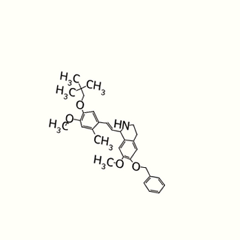 COc1cc2c(cc1OCc1ccccc1)CCNC2/C=C/c1cc(OCC(C)(C)C)c(OC)cc1C